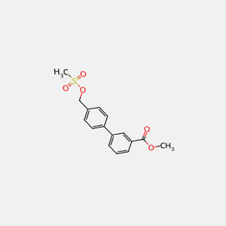 COC(=O)c1cccc(-c2ccc(COS(C)(=O)=O)cc2)c1